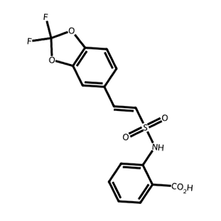 O=C(O)c1ccccc1NS(=O)(=O)/C=C/c1ccc2c(c1)OC(F)(F)O2